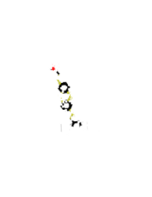 CCC(C)CSc1ccc2c(c1)Sc1ccc(SCC3CO3)cc1S2